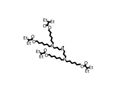 CCC(CC)C(=O)OCCCCCCN(CCCCCCOC(=O)C(CC)CC)CCCN(C)CCCN(CCCCCCOC(=O)C(CC)CC)CCCCCCOC(=O)C(CC)CC